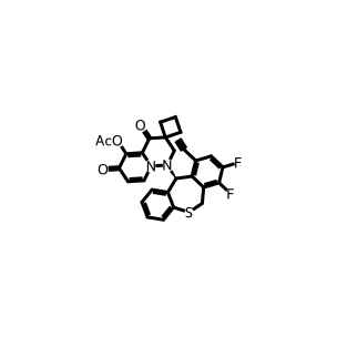 C#Cc1cc(F)c(F)c2c1[C@H](N1CC3(CCC3)C(=O)c3c(OC(C)=O)c(=O)ccn31)c1ccccc1SC2